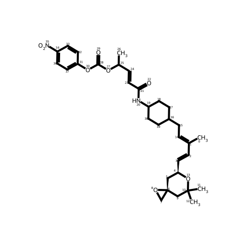 CC(C=C[C@@H]1C[C@]2(CO2)CC(C)(C)O1)=CCC1CCC(NC(=O)C=CC(C)OC(=O)Oc2ccc([N+](=O)[O-])cc2)CC1